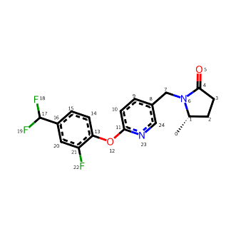 C[C@H]1CCC(=O)N1Cc1ccc(Oc2ccc(C(F)F)cc2F)nc1